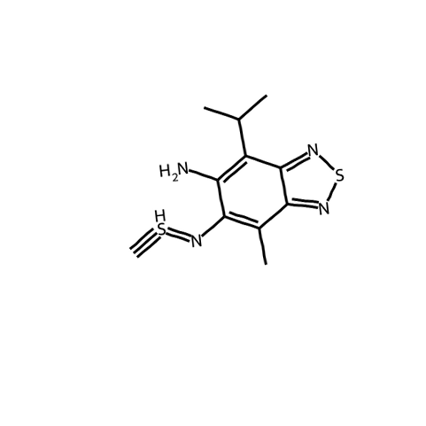 C#[SH]=Nc1c(N)c(C(C)C)c2nsnc2c1C